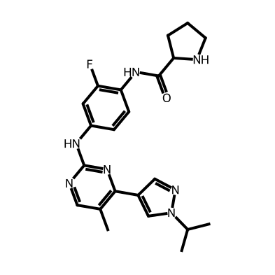 Cc1cnc(Nc2ccc(NC(=O)C3CCCN3)c(F)c2)nc1-c1cnn(C(C)C)c1